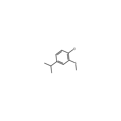 CSc1cc(C(C)C)ccc1Cl